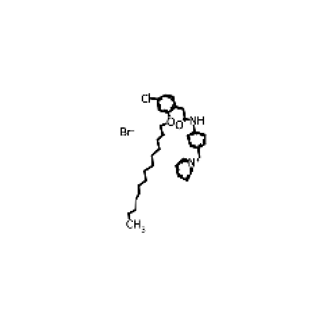 CCCCCCCCCCCCCCOc1cc(Cl)ccc1CC(=O)Nc1ccc(C[n+]2ccccc2)cc1.[Br-]